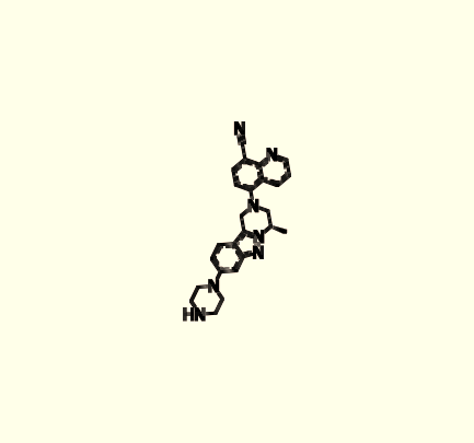 C[C@@H]1CN(c2ccc(C#N)c3ncccc23)Cc2c3ccc(N4CCNCC4)cc3nn21